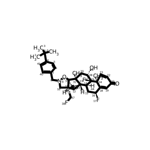 CC(C)(C)c1ccc(CN2C[C@@H]3C[C@H]4[C@@H]5C[C@H](F)C6=CC(=O)C=C[C@]6(C)[C@@]5(F)[C@@H](O)C[C@]4(C)[C@]3(C(=O)SCF)O2)cc1